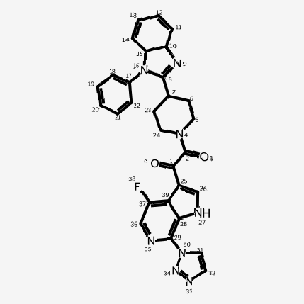 O=C(C(=O)N1CCC(C2=NC3C=CC=CC3N2c2ccccc2)CC1)c1c[nH]c2c(-n3ccnn3)ncc(F)c12